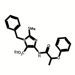 CCOC(=O)c1c(NC(=O)C(C)Oc2ccccc2)nc(SC)n1Cc1ccccc1